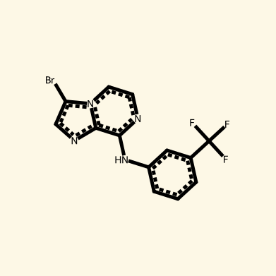 FC(F)(F)c1cccc(Nc2nccn3c(Br)cnc23)c1